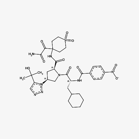 CC(C)(O)c1cnnn1[C@H]1C[C@@H](C(=O)NC2(C(=O)C(N)=O)CCS(=O)(=O)CC2)N(C(=O)[C@@H](CC2CCCCC2)NC(=O)c2ccc([N+](=O)[O-])cc2)C1